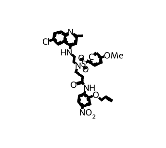 C=CCOc1cc([N+](=O)[O-])ccc1NC(=O)CCN(CCNc1cc(C)nc2ccc(Cl)cc12)S(=O)(=O)c1ccc(OC)cc1